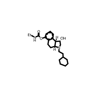 CCNC(=O)Oc1cccc2c1CC[C@@H]1[C@H]2CCN1CCC1CCCCC1.Cl